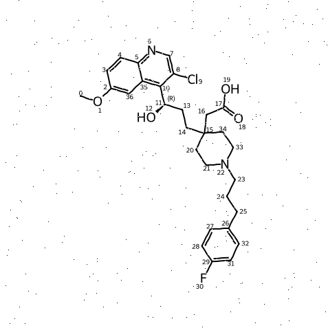 COc1ccc2ncc(Cl)c([C@H](O)CCC3(CC(=O)O)CCN(CCCc4ccc(F)cc4)CC3)c2c1